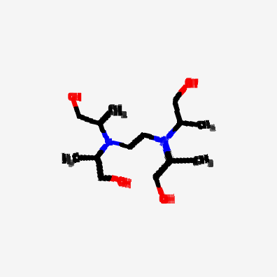 CC(CO)N(CCN(C(C)CO)C(C)CO)C(C)CO